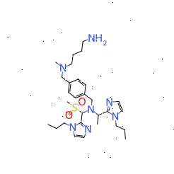 CCCn1ccnc1C(C)N(Cc1ccc(CN(C)CCCCN)cc1)C(c1nccn1CCC)S(C)(=O)=O